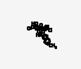 CN1CCc2ccc(NC(=O)OC3(NC(=O)c4ccc(Cl)s4)CC(O)C(OC=O)C3)cc2CC1